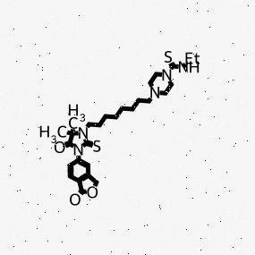 CCNC(=S)N1CCN(CCCCCCCCN2C(=S)N(c3ccc4c(c3)COC4=O)C(=O)C2(C)C)CC1